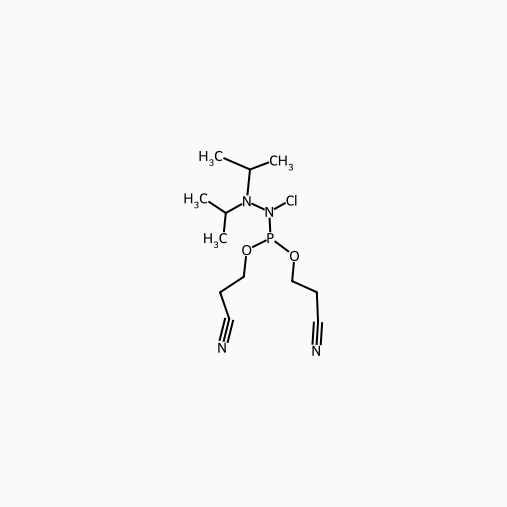 CC(C)N(C(C)C)N(Cl)P(OCCC#N)OCCC#N